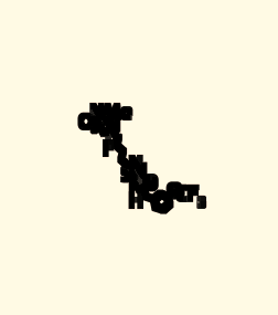 CNC(=O)C1(C)CN(C[C@H](F)CCc2nnc(NC(=O)Cc3cccc(OC(F)(F)F)c3)s2)N=N1